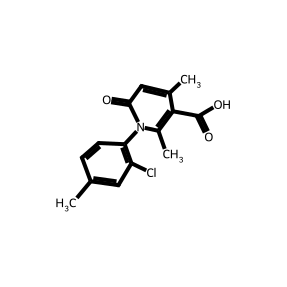 Cc1ccc(-n2c(C)c(C(=O)O)c(C)cc2=O)c(Cl)c1